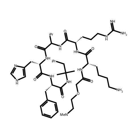 CNCCOCC(=O)N[C@@H](CCCCN)C(=O)N[C@@H](CCCNC(=N)N)C(=O)NC(C(=O)N[C@@H](Cc1c[nH]cn1)C(=O)N[C@@H](Cc1ccccc1)C(=O)NC(C)(C)CC(C)C)C(C)C